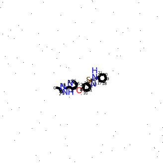 Cc1c[nH]c(-c2cc(Oc3ccc4nc(NC5CCCCC5)sc4c3)ccn2)n1